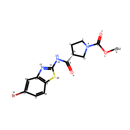 CC(C)(C)OC(=O)N1CC[C@@H](C(=O)Nc2nc3cc(Br)ccc3s2)C1